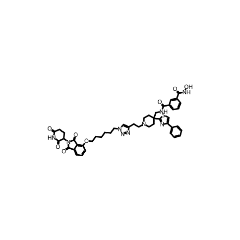 O=C1CCC(N2C(=O)c3cccc(OCCCCCCn4cc(CCN5CCC(CNC(=O)c6cccc(C(=O)NO)c6)(c6nc(-c7ccccc7)cs6)CC5)nn4)c3C2=O)C(=O)N1